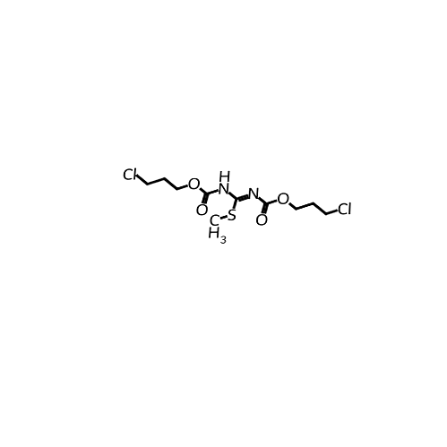 CS/C(=N\C(=O)OCCCCl)NC(=O)OCCCCl